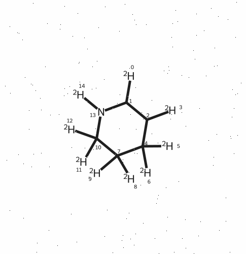 [2H]C1C([2H])C([2H])([2H])C([2H])([2H])C([2H])([2H])N1[2H]